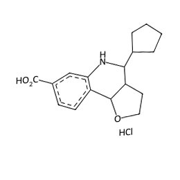 Cl.O=C(O)c1ccc2c(c1)NC(C1CCCC1)C1CCOC21